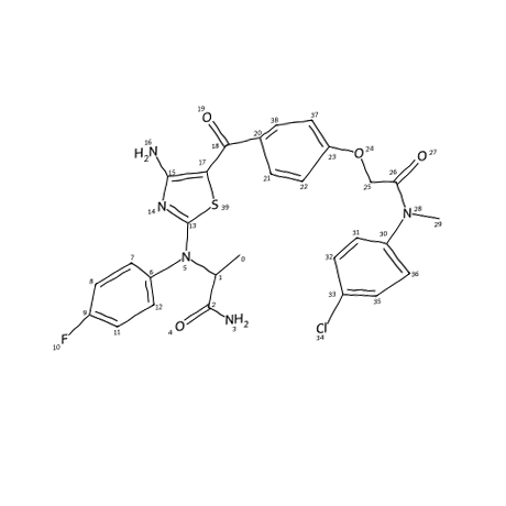 CC(C(N)=O)N(c1ccc(F)cc1)c1nc(N)c(C(=O)c2ccc(OCC(=O)N(C)c3ccc(Cl)cc3)cc2)s1